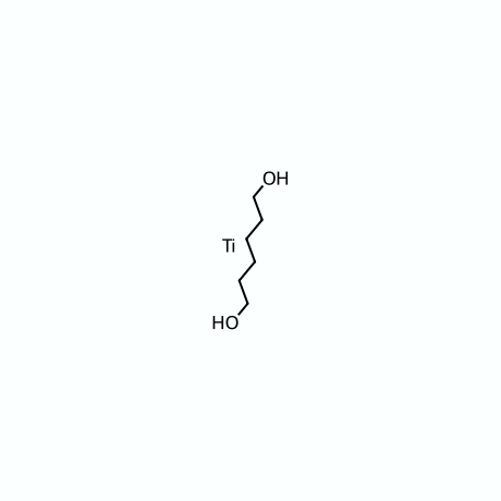 OCCCCCCO.[Ti]